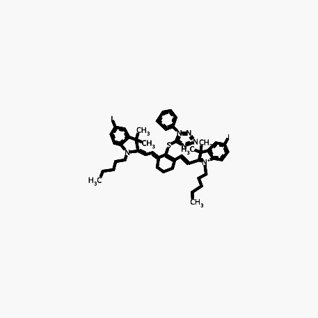 CCCCCN1/C(=C/C=C2\CCCC(/C=C/C3=[N+](CCCCC)c4ccc(I)cc4C3(C)C)=C2Sc2nnnn2-c2ccccc2)C(C)(C)c2cc(I)ccc21